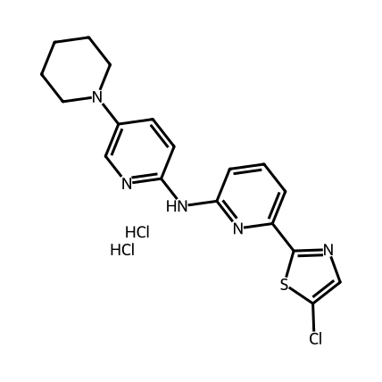 Cl.Cl.Clc1cnc(-c2cccc(Nc3ccc(N4CCCCC4)cn3)n2)s1